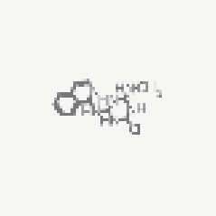 CNC1NC(Cl)NC(Nc2nccc3ccccc23)N1